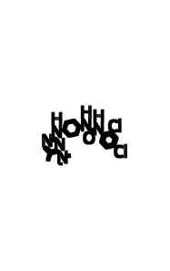 Cc1cnc(N[C@H]2CC[C@@H](NC(=O)Nc3ccc(Cl)cc3Cl)CC2)nc1N(C)C